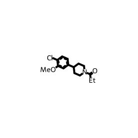 CCC(=O)N1CCC(c2ccc(Cl)c(OC)c2)CC1